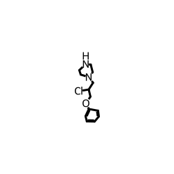 ClC(COc1ccccc1)CN1CCNCC1